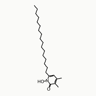 CCCCCCCCCCCCCCCCCc1cc(C)c(C)c(=O)n1O